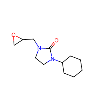 O=C1N(CC2CO2)CCN1C1CCCCC1